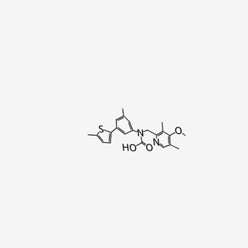 COc1c(C)cnc(CN(C(=O)O)c2cc(C)cc(-c3ccc(C)s3)c2)c1C